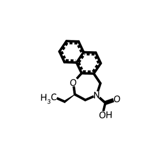 CC[C@@H]1CN(C(=O)O)Cc2ccc3ccccc3c2O1